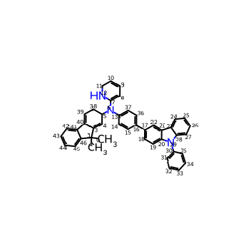 CC1(C)C2=CC(N(C3=CC=CCN3)c3ccc(-c4ccc5c(c4)c4ccccc4n5-c4ccccc4)cc3)CC=C2c2ccccc21